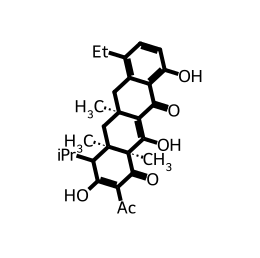 CCc1ccc(O)c2c1C[C@]1(C)C[C@]3(C)C(C(C)C)C(O)=C(C(C)=O)C(=O)[C@]3(C)C(O)=C1C2=O